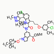 COC(=O)c1cc(N2C[C@@H](C)n3c(c(CCCOc4cc(C)c(Cl)c(C)c4)c4ccc(Cl)c(-c5c(C)nn(C)c5C)c43)C2=O)cc2c1ccn2COCC[Si](C)(C)C